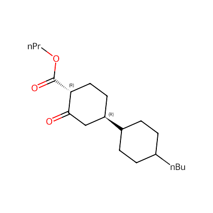 CCCCC1CCC([C@@H]2CC[C@@H](C(=O)OCCC)C(=O)C2)CC1